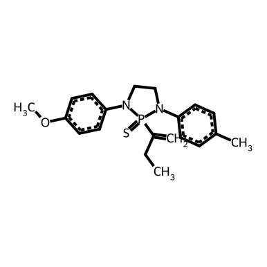 C=C(CC)P1(=S)N(c2ccc(C)cc2)CCN1c1ccc(OC)cc1